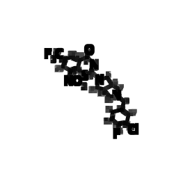 O=c1nc(N2CC3CN(Cc4ccc(F)c(Cl)c4)CC3C2)sc2c([N+](=O)[O-])cc(C(F)(F)F)cc12